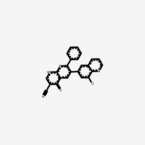 N#Cc1c[nH]c2nc(-c3ccccc3)c(-c3cc(Cl)c4ncccc4c3)cc2c1=O